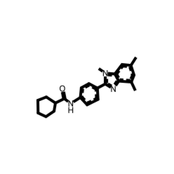 Cc1cc(C)c2nc(-c3ccc(NC(=O)C4CCCCC4)cc3)n(C)c2c1